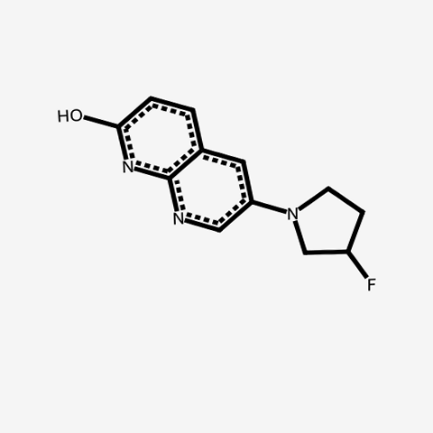 Oc1ccc2cc(N3CCC(F)C3)cnc2n1